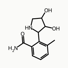 Cc1cccc(C(N)=O)c1C1NCC(O)C1O